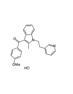 COc1ccc(C(=O)c2c(C)n(CCc3cccnc3)c3ccccc23)cc1.Cl